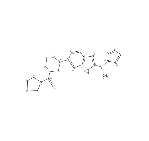 C[C@H](c1nc2ccc(N3CCCC(C(=O)N4CCCC4)C3)nc2[nH]1)n1cccn1